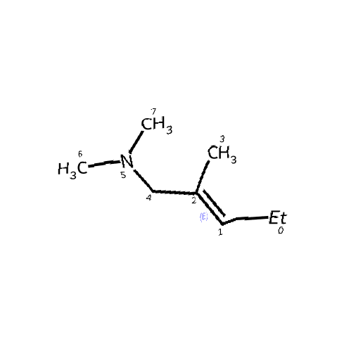 CC/C=C(\C)CN(C)C